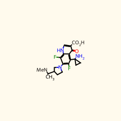 CNC(C)C1CCN(c2c(F)c(C3(N)CC3)c3c(=O)c(C(=O)O)c[nH]c3c2F)C1